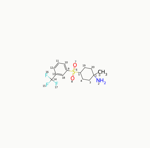 CC1(N)CCC(S(=O)(=O)c2cccc(C(F)(F)F)c2)CC1